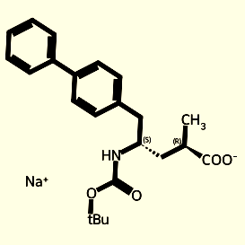 C[C@H](C[C@@H](Cc1ccc(-c2ccccc2)cc1)NC(=O)OC(C)(C)C)C(=O)[O-].[Na+]